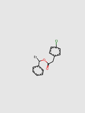 CCC(OC(=O)Cc1ccc(Cl)cc1)c1ccccc1